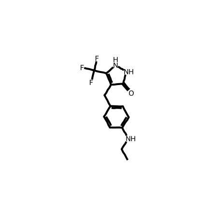 CCNc1ccc(Cc2c(C(F)(F)F)[nH][nH]c2=O)cc1